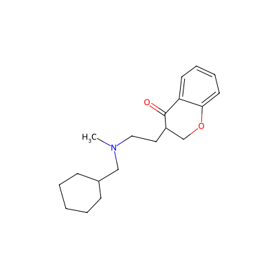 CN(CCC1COc2ccccc2C1=O)CC1CCCCC1